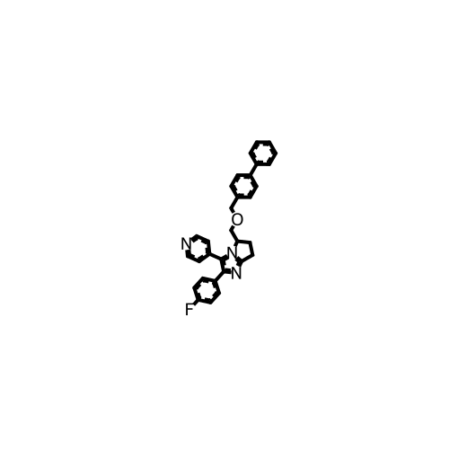 Fc1ccc(-c2nc3n(c2-c2ccncc2)C(COCc2ccc(-c4ccccc4)cc2)CC3)cc1